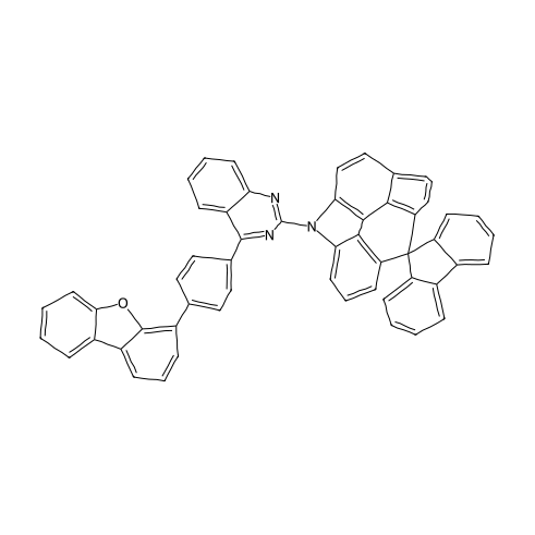 c1ccc2c(c1)-c1ccccc1C21c2cccc3ccc4c(c23)c2c1cccc2n4-c1nc(-c2ccc(-c3cccc4c3oc3ccccc34)cc2)c2ccccc2n1